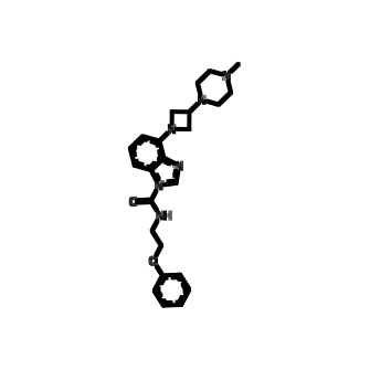 CN1CCN(C2CN(c3cccc4c3ncn4C(=O)NCCOc3ccccc3)C2)CC1